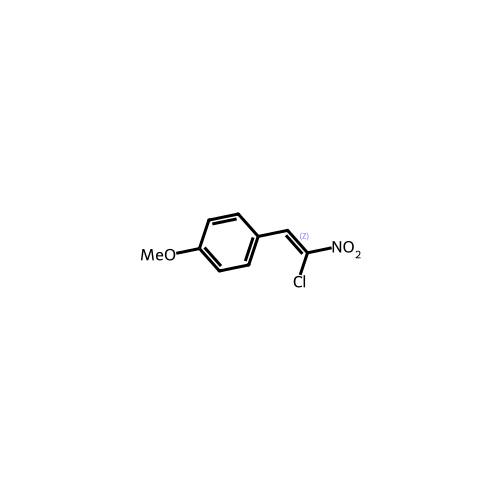 COc1ccc(/C=C(\Cl)[N+](=O)[O-])cc1